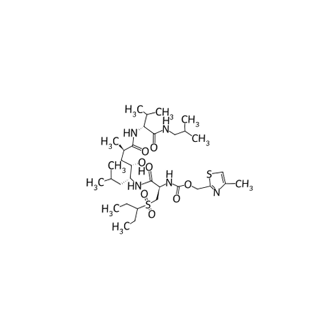 CCC(CC)S(=O)(=O)C[C@H](NC(=O)OCc1nc(C)cs1)C(=O)N[C@H](CC(C)C)[C@@H](O)C[C@@H](C)C(=O)N[C@@H](C(=O)NCC(C)C)C(C)C